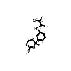 CC1(c2cccc(NC(=O)C(Cl)Cl)c2)CCSC(N)=N1